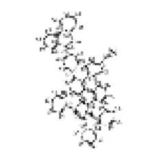 N#Cc1ccc(-c2ccc(-c3ccccc3-c3nc(-c4ccccc4)nc(-c4ccccc4-c4ccccc4)n3)cc2)c(-c2cccc(-c3cc4ccccc4c4ccccc34)c2)c1